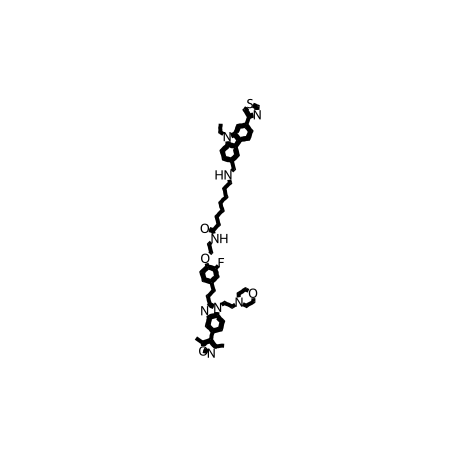 CCn1c2ccc(CNCCCCCCCC(=O)NCCOc3ccc(CCc4nc5cc(-c6c(C)noc6C)ccc5n4CCN4CCOCC4)cc3F)cc2c2ccc(-c3cscn3)cc21